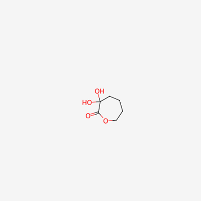 O=C1OCCCCC1(O)O